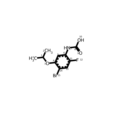 CC(C)Oc1cc(NC(=O)O)c(F)cc1Br